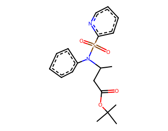 CC(CC(=O)OC(C)(C)C)N(c1ccccc1)S(=O)(=O)c1ccccn1